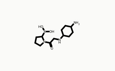 NC1CCC(NCC(=O)N2CCCC2B(O)O)CC1